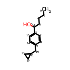 CCCCC(O)c1ccc(CC2CC2)cc1